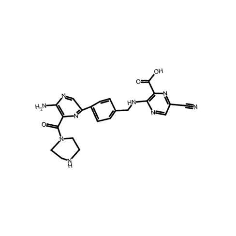 N#Cc1cnc(NCc2ccc(-c3cnc(N)c(C(=O)N4CCNCC4)n3)cc2)c(C(=O)O)n1